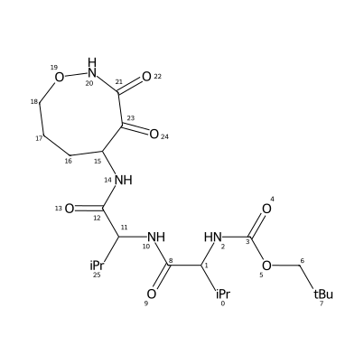 CC(C)C(NC(=O)OCC(C)(C)C)C(=O)NC(C(=O)NC1CCCONC(=O)C1=O)C(C)C